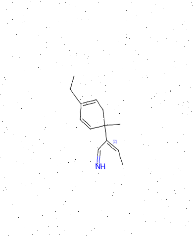 C/C=C(\C=N)C1(C)C=CC(CC)=CC1